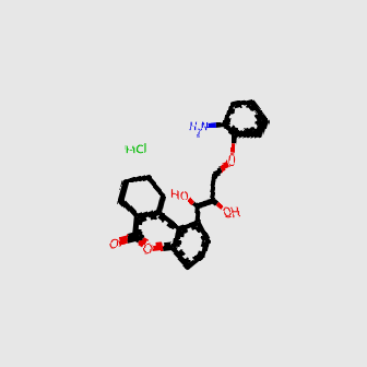 Cl.Nc1ccccc1OCC(O)C(O)c1cccc2oc(=O)c3c(c12)CCCC3